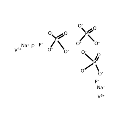 O=P([O-])([O-])[O-].O=P([O-])([O-])[O-].O=P([O-])([O-])[O-].[F-].[F-].[F-].[Na+].[Na+].[V+5].[V+5]